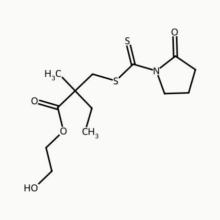 CCC(C)(CSC(=S)N1CCCC1=O)C(=O)OCCO